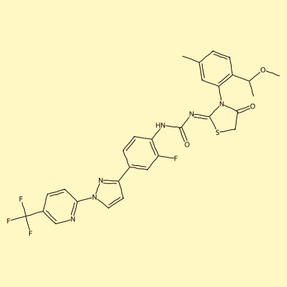 COC(C)c1ccc(C)cc1N1C(=O)CSC1=NC(=O)Nc1ccc(-c2ccn(-c3ccc(C(F)(F)F)cn3)n2)cc1F